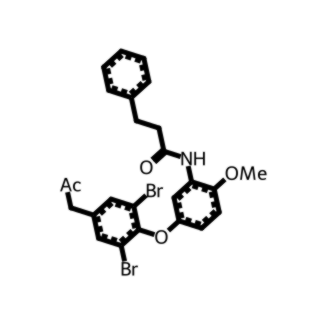 COc1ccc(Oc2c(Br)cc(CC(C)=O)cc2Br)cc1NC(=O)CCc1ccccc1